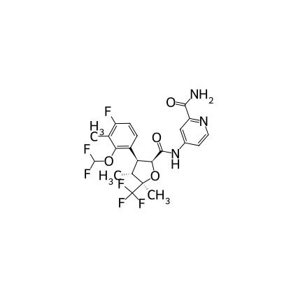 Cc1c(F)ccc([C@H]2[C@@H](C(=O)Nc3ccnc(C(N)=O)c3)O[C@@](C)(C(F)(F)F)[C@@H]2C)c1OC(F)F